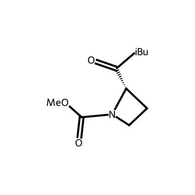 CCC(C)C(=O)[C@@H]1CCN1C(=O)OC